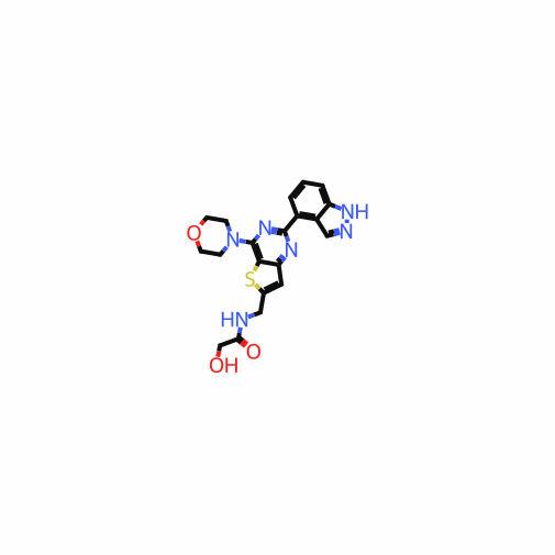 O=C(CO)NCc1cc2nc(-c3cccc4[nH]ncc34)nc(N3CCOCC3)c2s1